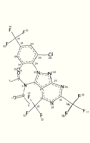 CC(=O)N(C(C)=O)c1c2c(C(F)(F)F)nc(C(F)(F)F)nc2nn1-c1c(Cl)cc(C(F)(F)F)cc1Cl